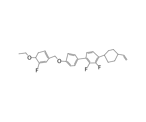 C=CC1CCC(c2ccc(-c3ccc(OCC4=CCC(OCC)C(F)=C4)cc3)c(F)c2F)CC1